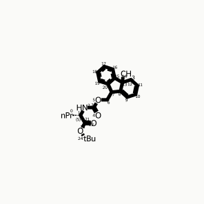 CCC[C@H](NC(=O)OCC1C2=CC=CCC2(C)c2ccccc21)C(=O)OC(C)(C)C